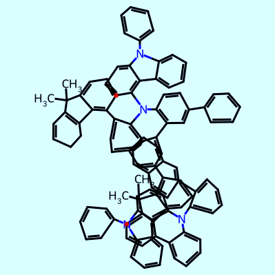 CC1(C)C2=C(CCC=C2)c2c(-c3ccccc3N(c3ccc(-c4ccccc4)cc3-c3cccc(-c4cccc5c4C(C)(C)c4cccc(-c6ccccc6N(c6ccccc6-c6ccc7ccccc7c6)c6cccc7c6c6ccccc6n7-c6ccccc6)c4-5)c3)c3cccc4c3c3ccccc3n4-c3ccccc3)cccc21